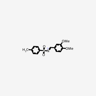 COc1ccc(/C=N/S(=O)(=O)c2ccc(C)cc2)cc1OC